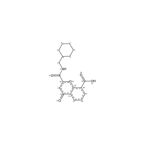 O=C(NCC1CCCCC1)c1cc(=O)c2cccc(C(=O)O)c2o1